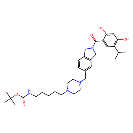 CC(C)c1cc(C(=O)N2Cc3ccc(CN4CCN(CCCCCNC(=O)OC(C)(C)C)CC4)cc3C2)c(O)cc1O